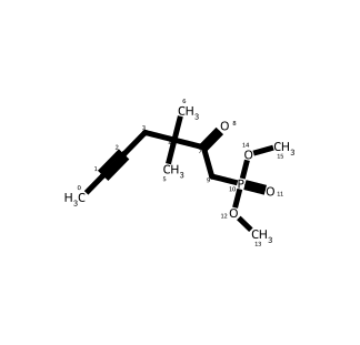 CC#CCC(C)(C)C(=O)CP(=O)(OC)OC